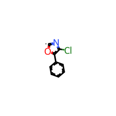 Clc1n[c]oc1-c1ccccc1